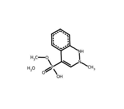 COP(=O)(O)C1=CN(C)Nc2ccccc21.O